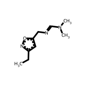 CCc1cc(CN=CN(C)C)on1